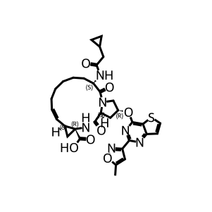 Cc1cc(-c2nc(O[C@@H]3C[C@H]4C(=O)N[C@]5(C(=O)O)C[C@H]5C=CCCCCC[C@H](NC(=O)CC5CC5)C(=O)N4C3)c3sccc3n2)no1